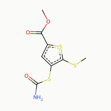 COC(=O)c1cc(SC(N)=O)c(SC)s1